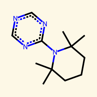 CC1(C)CCCC(C)(C)N1c1ncncn1